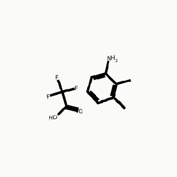 Cc1cccc(N)c1C.O=C(O)C(F)(F)F